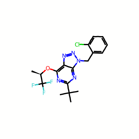 C[C@@H](Oc1nc(C(C)(C)C)nc2c1nnn2Cc1ccccc1Cl)C(F)(F)F